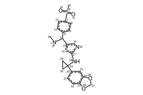 CN(C)C(c1ccc(S(C)(=O)=O)cc1)c1cnc(NC2(c3ccc4c(c3)OCO4)CC2)s1